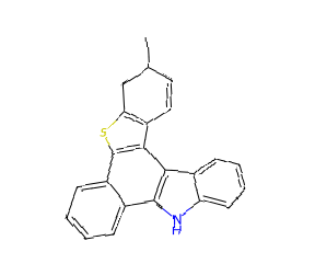 CC1C=Cc2c(sc3c4ccccc4c4[nH]c5ccccc5c4c23)C1